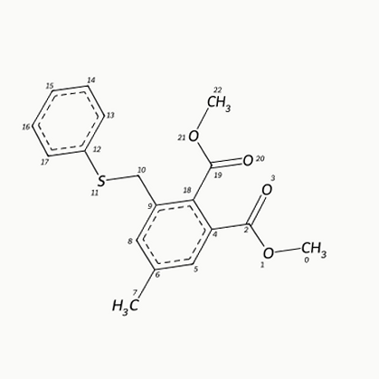 COC(=O)c1cc(C)cc(CSc2ccccc2)c1C(=O)OC